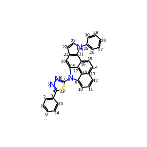 c1ccc(-c2nnc(-n3c4cccc5ccc6c(c54)c3cc3ccn(-c4ccccc4)c36)s2)cc1